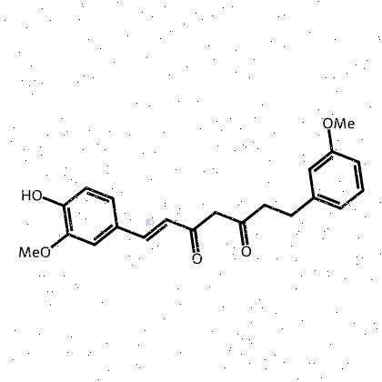 COc1cccc(CCC(=O)CC(=O)/C=C/c2ccc(O)c(OC)c2)c1